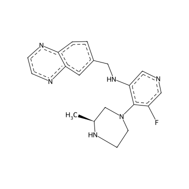 C[C@H]1CN(c2c(F)cncc2NCc2ccc3nccnc3c2)CCN1